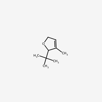 CC1=CCOC1C(C)(C)C